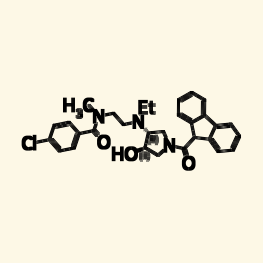 CCN(CCN(C)C(=O)c1ccc(Cl)cc1)[C@@H]1CN(C(=O)C2c3ccccc3-c3ccccc32)C[C@H]1O